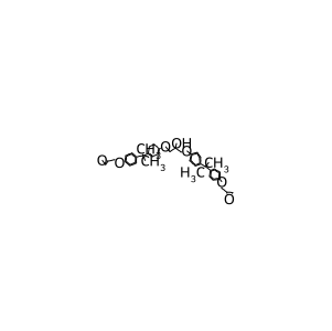 CC(C)(C1=CC=C(OCC(O)COc2ccc(C(C)(C)c3ccc(OCC4CO4)cc3)cc2)CC1)c1ccc(OCC2CO2)cc1